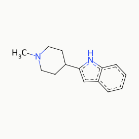 CN1CCC(c2cc3ccccc3[nH]2)CC1